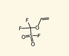 C=COC(F)(F)S(=O)(=O)F